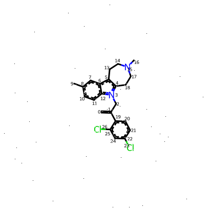 C=C(Cn1c2c(c3cc(C)ccc31)CCN(C)CC2)c1ccc(Cl)cc1Cl